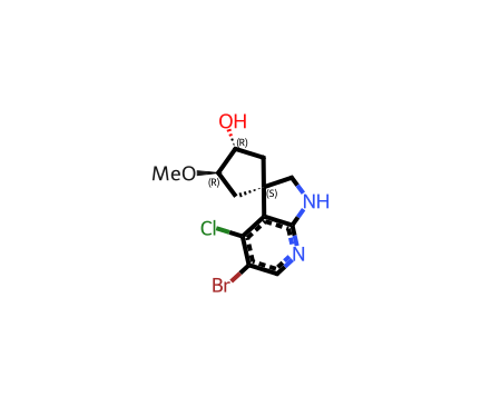 CO[C@@H]1C[C@@]2(CNc3ncc(Br)c(Cl)c32)C[C@H]1O